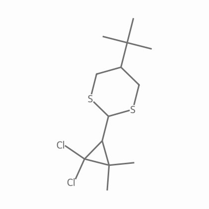 CC(C)(C)C1CSC(C2C(C)(C)C2(Cl)Cl)SC1